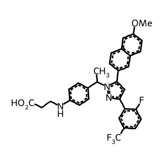 COc1ccc2cc(-c3cc(-c4cc(C(F)(F)F)ccc4F)nn3C(C)c3ccc(NCCC(=O)O)cc3)ccc2c1